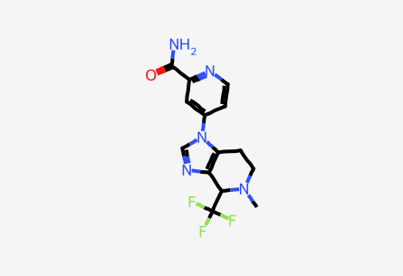 CN1CCc2c(ncn2-c2ccnc(C(N)=O)c2)C1C(F)(F)F